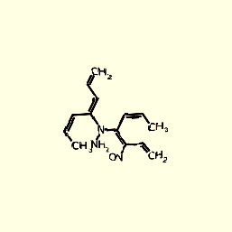 C=C/C=C(\C=C/C)N(N)C(/C=C\C)=C(/C=C)N=O